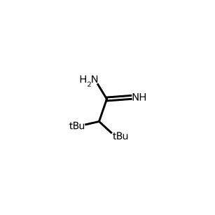 CC(C)(C)C(C(=N)N)C(C)(C)C